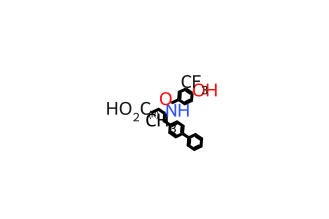 C[C@H](CC(Cc1ccc(-c2ccccc2)cc1)NC(=O)c1ccc(O)c(C(F)(F)F)c1)C(=O)O